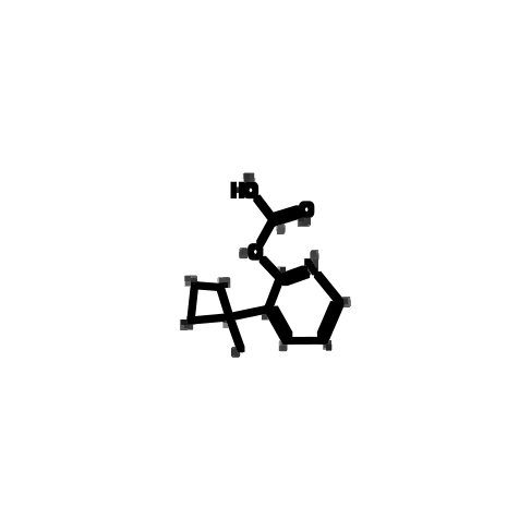 CC1(c2cccnc2OC(=O)O)CCC1